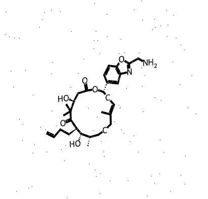 C=CCC[C@H]1C(=O)C(C)(C)[C@@H](O)CC(=O)O[C@H](c2ccc3oc(CN)nc3c2)C/C=C(\C)CCC[C@H](C)[C@@H]1O